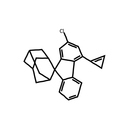 Clc1cc(C2=CC2)c2c(c1)C1(c3ccccc3-2)C2CC3CC(C2)CC1C3